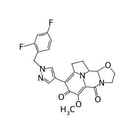 COc1c2n3c(c(-c4cnn(Cc5ccc(F)cc5F)c4)c1=O)CCC3C1OCCN1C2=O